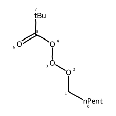 CCCCCCOOOC(=O)C(C)(C)C